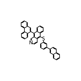 c1cc(Sc2c3ccccc3c(-c3cc4ccccc4c4ccccc34)c3cnccc23)cc(-c2ccc3ccccc3c2)c1